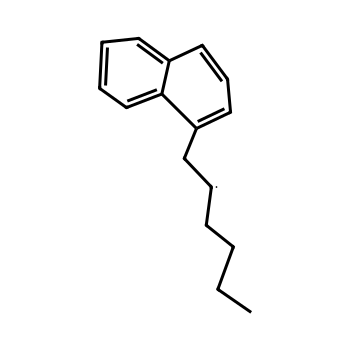 CCCC[CH]Cc1cccc2ccccc12